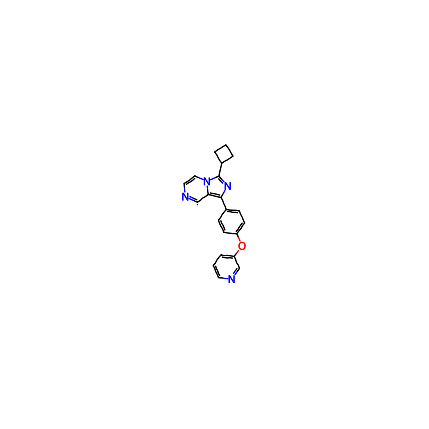 [c]1nccn2c(C3CCC3)nc(-c3ccc(Oc4cccnc4)cc3)c12